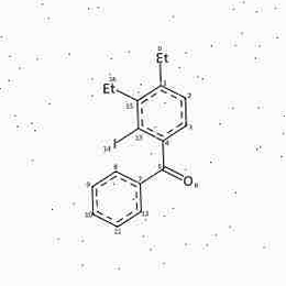 CCc1ccc(C(=O)c2ccccc2)c(I)c1CC